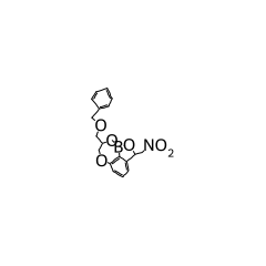 O=[N+]([O-])CC1OB2OC(COCc3ccccc3)COc3cccc1c32